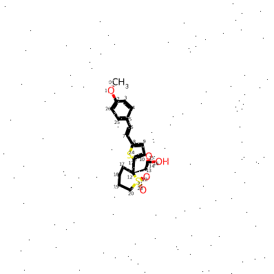 COc1ccc(C=Cc2ccc([C@@]3(CC(=O)O)CCCCS3(=O)=O)s2)cc1